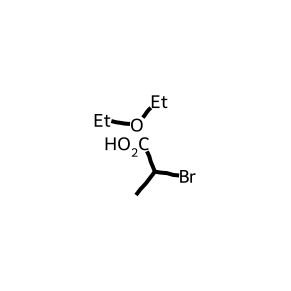 CC(Br)C(=O)O.CCOCC